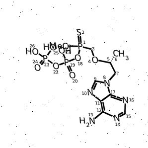 COP(=S)(CO[C@H](C)Cn1cnc2c(N)ncnc21)OP(=O)(O)OP(=O)(O)O